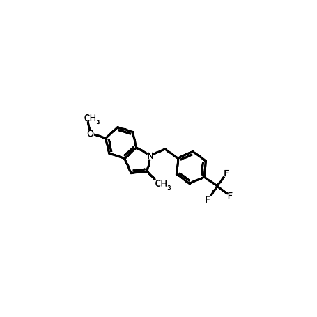 COc1ccc2c(c1)cc(C)n2Cc1ccc(C(F)(F)F)cc1